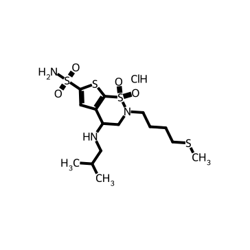 CSCCCCN1CC(NCC(C)C)c2cc(S(N)(=O)=O)sc2S1(=O)=O.Cl